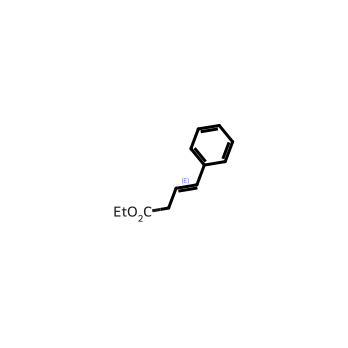 CCOC(=O)C/C=C/c1ccccc1